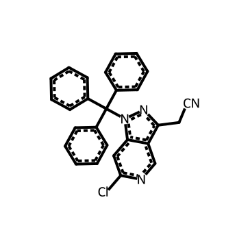 N#CCc1nn(C(c2ccccc2)(c2ccccc2)c2ccccc2)c2cc(Cl)ncc12